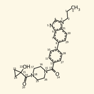 CCCn1cnc2cc(-c3ccc(C(=O)N4CCN(C(=O)C5(O)CC5)CC4)cc3)ccc21